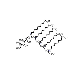 CCCCCCCC/C=C\CCCCCCCC(=O)O.CCCCCCCC/C=C\CCCCCCCC(=O)O.CCCCCCCC/C=C\CCCCCCCC(=O)O.CCCCCCCC/C=C\CCCCCCCC(=O)O.CCCCCCCC/C=C\CCCCCCCC(=O)O.OC[C@@H](O)[C@@H](O)[C@H](O)[C@@H](O)CO